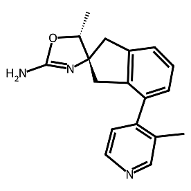 Cc1cnccc1-c1cccc2c1C[C@@]1(C2)N=C(N)O[C@@H]1C